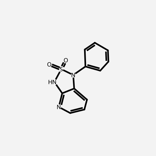 O=S1(=O)Nc2ncccc2N1c1ccccc1